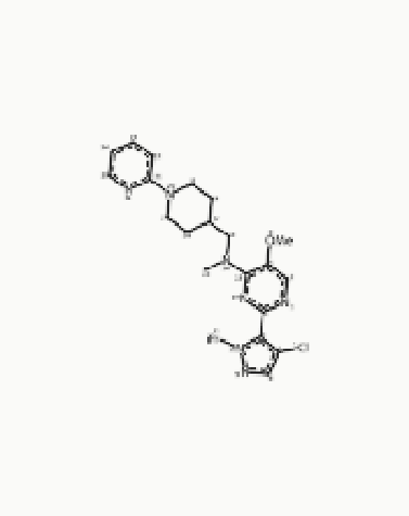 COc1cnc(-c2c(Cl)cnn2C(C)C)nc1N(C)CC1CCN(c2ccccn2)CC1